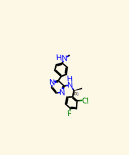 CNc1ccc(-c2nccnc2N[C@@H](C)c2ccc(F)cc2Cl)cc1